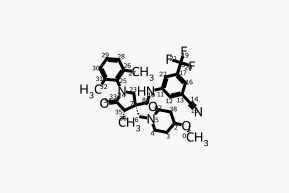 COC1CCN(C[C@@]2(C(=O)Nc3cc(C#N)cc(C(F)(F)F)c3)CN(c3c(C)cccc3C)C(=O)[C@H]2C)CC1